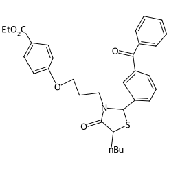 CCCCC1SC(c2cccc(C(=O)c3ccccc3)c2)N(CCCOc2ccc(C(=O)OCC)cc2)C1=O